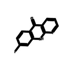 O=c1c2c([nH]c3cc(I)ccc13)I=CC=C2